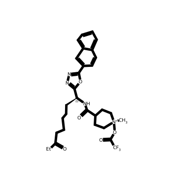 CCC(=O)CCCCC[C@H](NC(=O)C1CC[N+](C)(OC(=O)C(F)(F)F)CC1)c1nnc(-c2ccc3ccccc3c2)o1